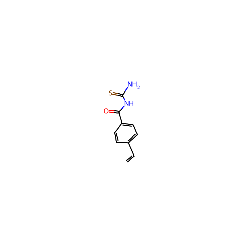 C=Cc1ccc(C(=O)NC(N)=S)cc1